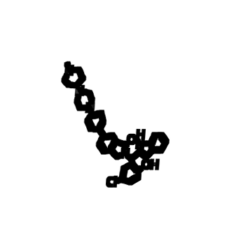 CN1CCC(N2CCN(c3ccc(-c4ccc5c(c4)C(=O)N(C(c4cc6ccccc6[nH]4)c4cc(Cl)ccc4O)C5)cc3)CC2)CC1